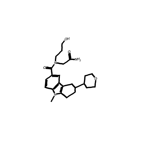 Cn1c2c(c3cc(C(=O)N(CCCO)CC(N)=O)ccc31)CC(C1CCOCC1)CC2